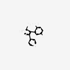 CCc1[nH]nc(-c2ccncc2)c1-c1cc(C)ccc1O